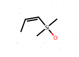 C/C=C\[Si](C)(C)[O]